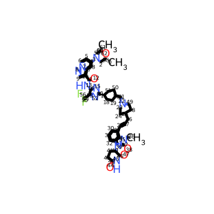 C[C@@H]1CN(c2ccn3ncc(C(=O)NC4=N[C@@H](C5CCC(CN6CCC(CC#Cc7cccc8c7n(C)c(=O)n8C7CCC(=O)NC7=O)CC6)CC5)N=C4C(F)F)c3c2)C[C@@H](C)O1